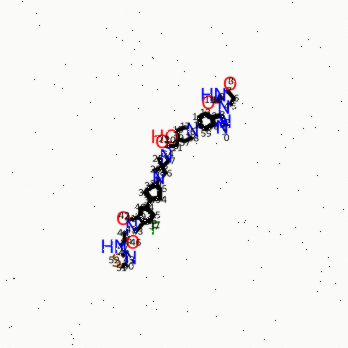 Cn1nc(N2CCC(=O)NC2=O)c2ccc(N3CCC(O)(CC(=O)N4CC5(C4)CN(c4ccc(-c6cc(F)c7c(c6)C(=O)N(CC(=O)Nc6nccs6)C7)cc4)C5)CC3)cc21